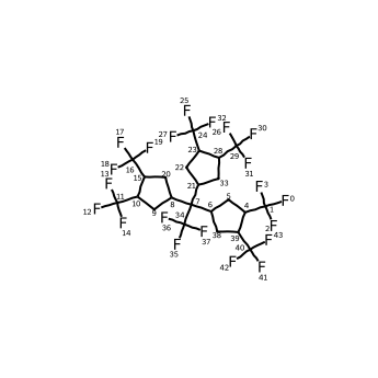 FC(F)(F)C1CC(C(C2CC(C(F)(F)F)C(C(F)(F)F)C2)(C2CC(C(F)(F)F)C(C(F)(F)F)C2)C(F)(F)F)CC1C(F)(F)F